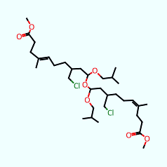 COC(=O)CCC(C)=CCCC(CCl)CC(OCC(C)C)OC(CC(CCl)CCC=C(C)CCC(=O)OC)OCC(C)C